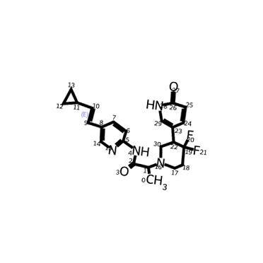 CC(C(=O)Nc1ccc(/C=C/C2CC2)cn1)N1CCC(F)(F)C(c2ccc(=O)[nH]c2)C1